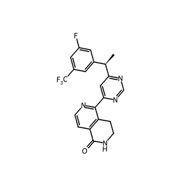 C[C@H](c1cc(F)cc(C(F)(F)F)c1)c1cc(-c2nccc3c2CCNC3=O)ncn1